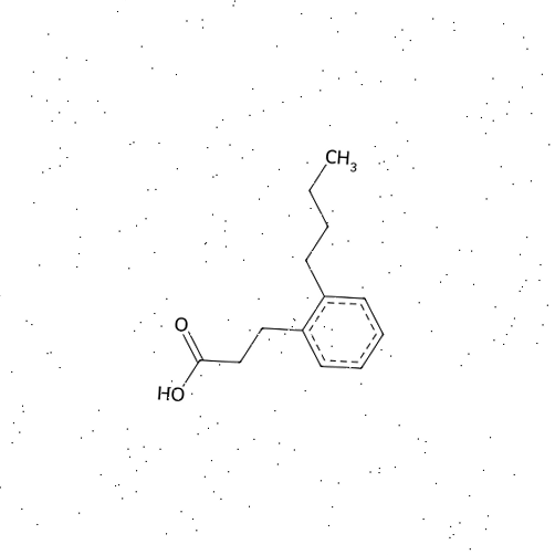 CCCCc1ccccc1CCC(=O)O